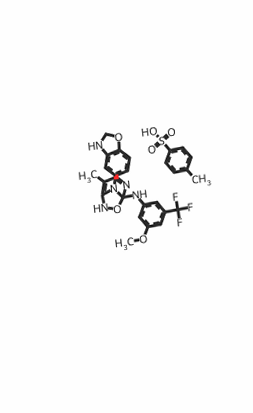 COc1cc(NC23N=CC(C)=C(NO2)N3c2ccc3c(c2)NCO3)cc(C(F)(F)F)c1.Cc1ccc(S(=O)(=O)O)cc1